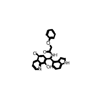 O=C(COc1ccccc1)NC(c1cc(Cl)c2cccnc2c1O)c1cccc2[nH]ccc12